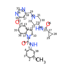 Cc1cccc(NC(=O)n2ccc3cc(Oc4cc(CN5CCC(NC(=O)C6CC6)CC5)ncn4)ccc32)c1